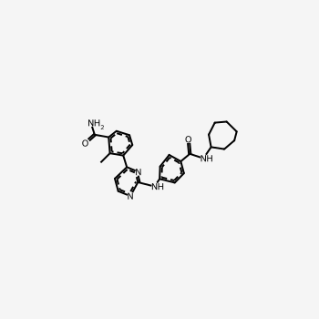 Cc1c(C(N)=O)cccc1-c1ccnc(Nc2ccc(C(=O)NC3CCCCCC3)cc2)n1